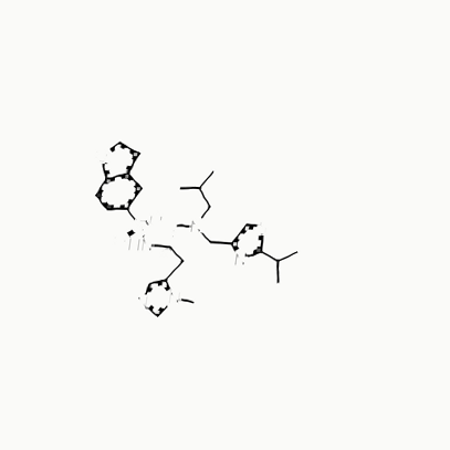 CC(C)CN(Cc1csc(C(C)C)n1)C[C@H](Cc1cncn1C)NS(=O)(=O)c1ccc2occc2c1